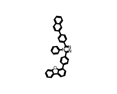 c1ccc(-n2c(-c3ccc(-c4ccc5ccccc5c4)cc3)nnc2-c2ccc(-c3cccc4c3oc3ccccc34)cc2)cc1